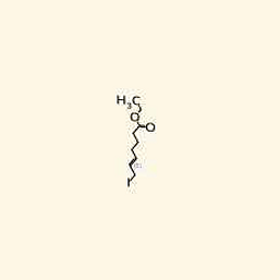 CCOC(=O)CCC/C=C/CI